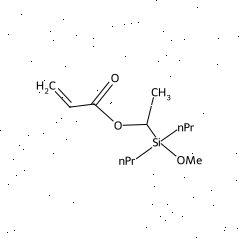 C=CC(=O)OC(C)[Si](CCC)(CCC)OC